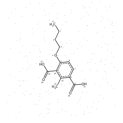 CCCCOc1ccc(C(=O)O)c(C)c1C(=O)O